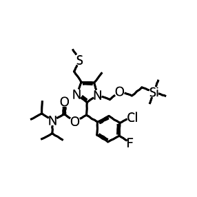 CSCc1nc(C(OC(=O)N(C(C)C)C(C)C)c2ccc(F)c(Cl)c2)n(COCC[Si](C)(C)C)c1C